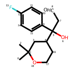 CC1(C)CC(C(O)(CC=O)c2ccc(F)cc2)CCO1